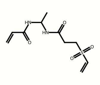 C=CC(=O)NC(C)NC(=O)CCS(=O)(=O)C=C